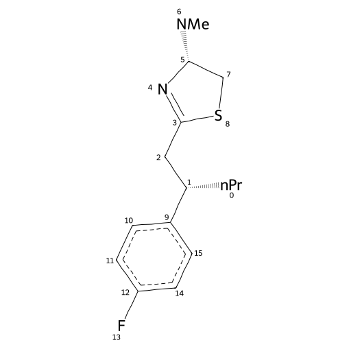 CCC[C@@H](CC1=N[C@H](NC)CS1)c1ccc(F)cc1